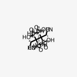 N#CCC(C(CC#N)(P(=O)(O)O)P(=O)(O)O)(P(=O)(O)O)P(=O)(O)O